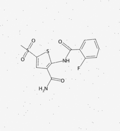 CS(=O)(=O)c1cc(C(N)=O)c(NC(=O)c2ccccc2F)s1